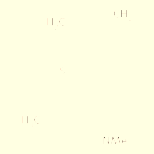 C=CC(=C)SCC(C)CNC